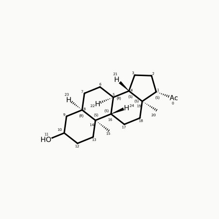 CC(=O)[C@H]1CC[C@H]2[C@@H]3CC[C@@H]4CC(O)CC[C@]4(C)[C@H]3CC[C@]12C